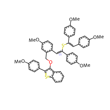 COc1ccc(C=C(S/C(=C\c2ccc(OC)cc2COc2c(-c3ccc(OC)cc3)sc3ccccc23)c2ccc(OC)cc2)c2ccc(OC)cc2)cc1